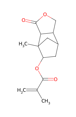 C=C(C)C(=O)OC1CC2CC1(C)C1C(=O)OCC21